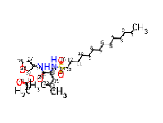 CCCCCCCCCCCCCCS(=O)(=O)NC(CC(C)C)C(=O)N[C@H]1CCO[C@H]1OC(C)=O